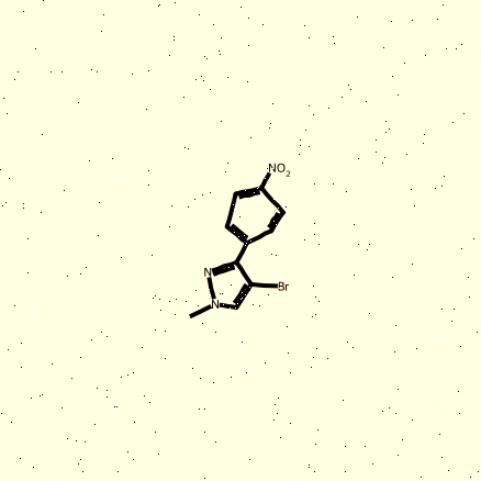 Cn1cc(Br)c(-c2ccc([N+](=O)[O-])cc2)n1